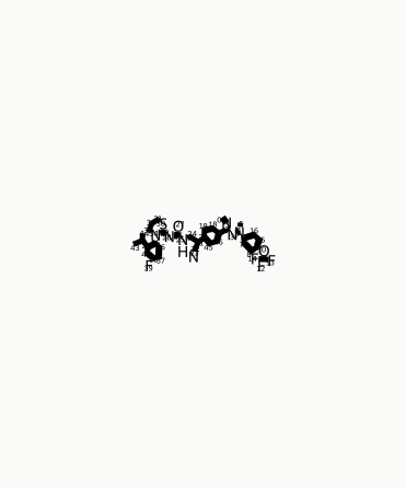 C=N/C(=N\N(C)c1ccc(OC(F)(F)F)cc1)c1ccc(C(C#N)CNC(=O)/N=C2\SCCCN2c2ccc(F)cc2C(C)C)cc1